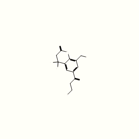 CCc1cc(C(=O)CCCl)cc2c1NC(=O)CC2(C)C